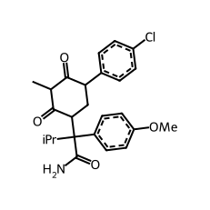 COc1ccc(C(C(N)=O)(C(C)C)C2CC(c3ccc(Cl)cc3)C(=O)C(C)C2=O)cc1